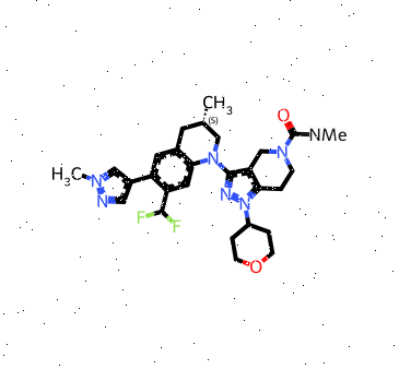 CNC(=O)N1CCc2c(c(N3C[C@@H](C)Cc4cc(-c5cnn(C)c5)c(C(F)F)cc43)nn2C2CCOCC2)C1